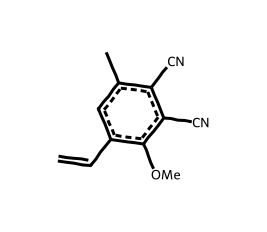 C=Cc1cc(C)c(C#N)c(C#N)c1OC